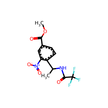 COC(=O)c1ccc(C(C)NC(=O)C(F)(F)F)c([N+](=O)[O-])c1